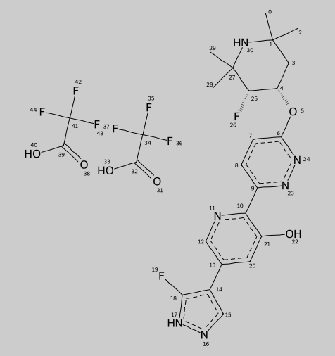 CC1(C)C[C@H](Oc2ccc(-c3ncc(-c4cn[nH]c4F)cc3O)nn2)[C@H](F)C(C)(C)N1.O=C(O)C(F)(F)F.O=C(O)C(F)(F)F